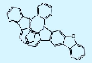 c1ccc(-n2c3ccccc3c3cc4c(cc32)oc2ccccc24)c(-n2c3ccccc3c3ccccc32)c1